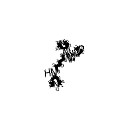 CN1C(C)(C)CC(NCCCCCCN(c2ncnc(N3CCOCC3)n2)C2CC(C)(C)N(C)C(C)(C)C2)CC1(C)C